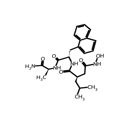 CC(C)C[C@H](CC(=O)NO)C(=O)N[C@@H](Cc1cccc2ccccc12)C(=O)N[C@@H](C)C(N)=O